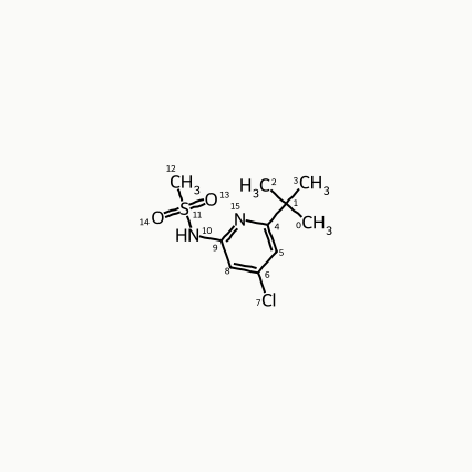 CC(C)(C)c1cc(Cl)cc(NS(C)(=O)=O)n1